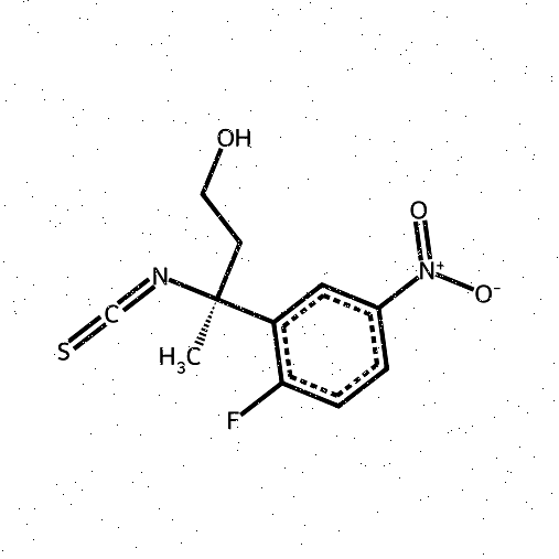 C[C@@](CCO)(N=C=S)c1cc([N+](=O)[O-])ccc1F